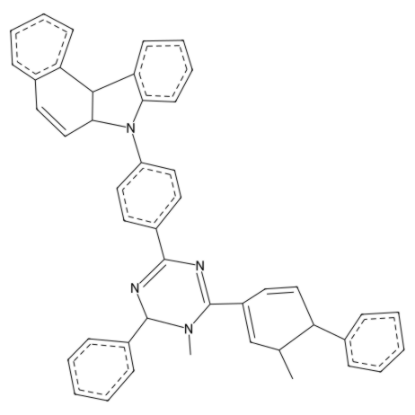 CC1C=C(C2=NC(c3ccc(N4c5ccccc5C5c6ccccc6C=CC54)cc3)=NC(c3ccccc3)N2C)C=CC1c1ccccc1